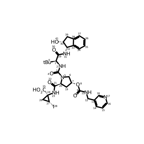 CC(C)(C)[C@H](NC(=O)N1C[C@H](OC(=O)NCc2cccnc2)C[C@H]1C(=O)N[C@]1(C(=O)O)C[C@H]1I)C(=O)N[C@H]1c2ccccc2C[C@H]1O